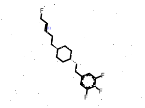 FC/C=C/CC[C@H]1CC[C@H](CCc2cc(F)c(F)c(F)c2)CC1